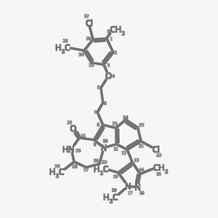 Cc1cc(OCCCc2c3n(c4c(-c5c(C)nn(C)c5C)c(Cl)ccc24)CCC(C)NC3=O)cc(C)c1Cl